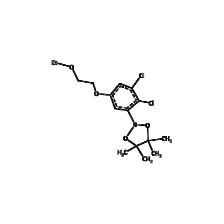 CCOCCOc1cc(Cl)c(Cl)c(B2OC(C)(C)C(C)(C)O2)c1